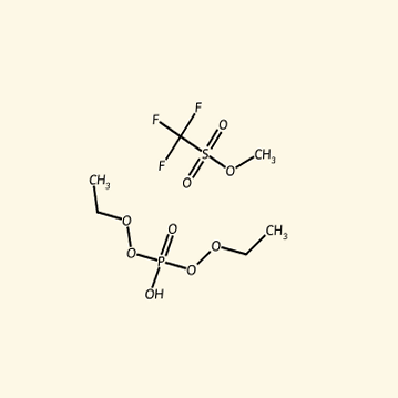 CCOOP(=O)(O)OOCC.COS(=O)(=O)C(F)(F)F